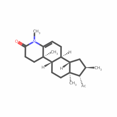 CC(=O)[C@H]1[C@H](C)C[C@H]2[C@@H]3CC=C4N(C)C(=O)CC[C@]4(C)[C@H]3CC[C@@]21C